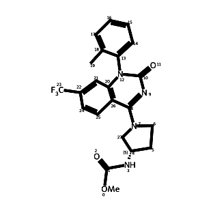 COC(=O)N[C@H]1CCN(c2nc(=O)n(-c3ccccc3C)c3cc(C(F)(F)F)ccc23)C1